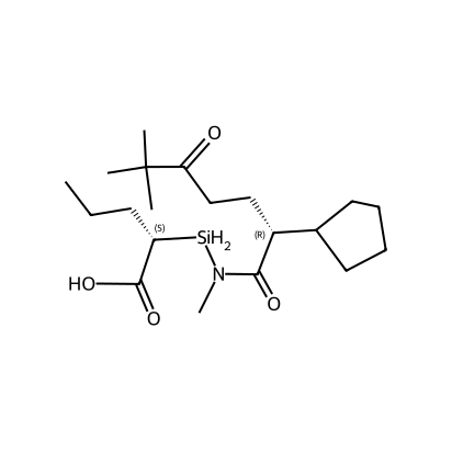 CCC[C@H]([SiH2]N(C)C(=O)[C@H](CCC(=O)C(C)(C)C)C1CCCC1)C(=O)O